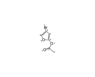 CC(=O)Oc1cc(Br)co1